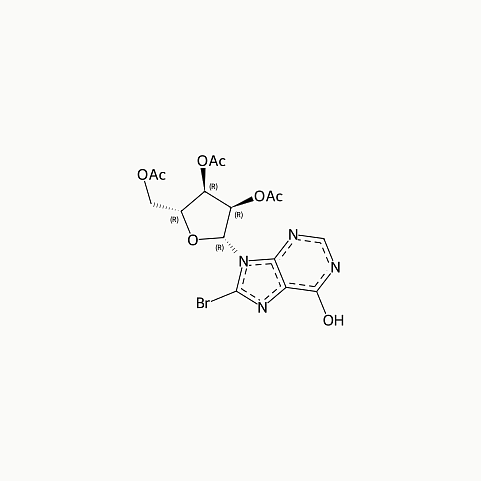 CC(=O)OC[C@H]1O[C@@H](n2c(Br)nc3c(O)ncnc32)[C@H](OC(C)=O)[C@@H]1OC(C)=O